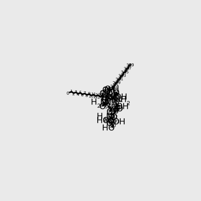 CCCCCCCCCCCCCCCC(=O)OC([C@H](CO)OC(=O)CCCCCCCCCCCCCCC)[C@](N)(CC(CN)O[PH](=O)O)C(=O)N[C@H](CCC(=O)N(CC(C)O[C@@H]1[C@@H](N)[C@@H](O)O[C@H](CO)[C@H]1O)[C@](C)(C(C)=O)C(=O)O)C(N)=O